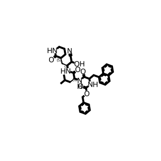 CC(C)C[C@H](NC(=O)C(Cc1cccc2ccccc12)NC(=O)OCc1ccccc1)C(=O)N[C@@H](C[C@@H]1CCCNC1=O)C(O)C#N